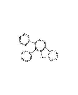 [CH]1c2ccccc2-c2ccc(-c3ccccc3)c(-c3ccccc3)c21